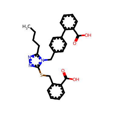 CCCCc1nnc(SCc2ccccc2C(=O)O)n1Cc1ccc(-c2ccccc2C(=O)O)cc1